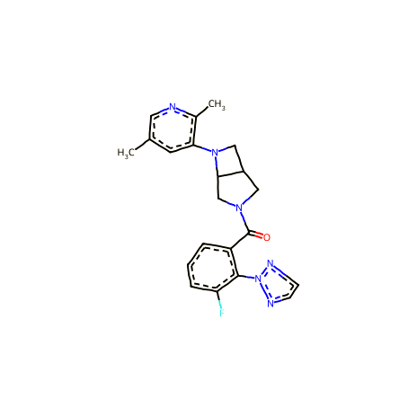 Cc1cnc(C)c(N2CC3CN(C(=O)c4cccc(F)c4-n4nccn4)CC32)c1